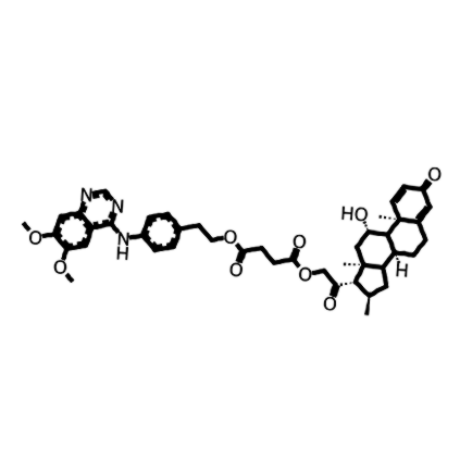 COc1cc2ncnc(Nc3ccc(CCOC(=O)CCC(=O)OCC(=O)[C@H]4[C@H](C)CC5[C@@H]6CCC7=CC(=O)C=C[C@]7(C)C6[C@@H](O)C[C@@]54C)cc3)c2cc1OC